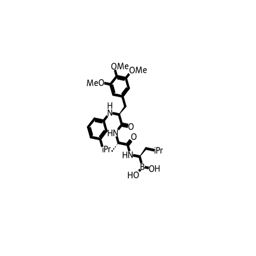 COc1cc(C[C@H](Nc2cccc(C(C)C)c2)C(=O)N[C@@H](C)C(=O)N[C@@H](CC(C)C)B(O)O)cc(OC)c1OC